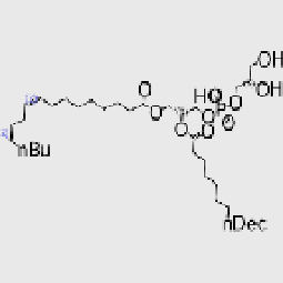 CCCC/C=C\C/C=C\CCCCCCCC(=O)OC[C@H](COP(=O)(O)OC[C@@H](O)CO)OC(=O)CCCCCCCCCCCCCCCC